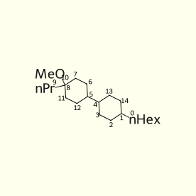 CCCCCCC1CCC(C2CCC(CCC)(OC)CC2)CC1